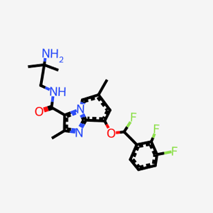 Cc1cc(OC(F)c2cccc(F)c2F)c2nc(C)c(C(=O)NCC(C)(C)N)n2c1